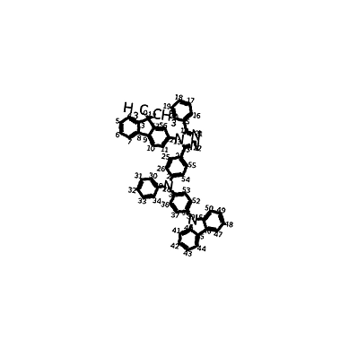 CC1(C)c2ccccc2-c2ccc(-n3c(-c4ccccc4)nnc3-c3ccc(N(c4ccccc4)c4ccc(-n5c6ccccc6c6ccccc65)cc4)cc3)cc21